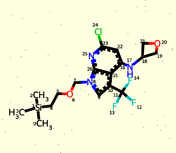 C[Si](C)(C)CCOCn1cc(C(F)(F)F)c2c(NC3COC3)cc(Cl)nc21